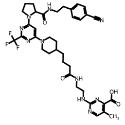 Cc1cnc(NCCNC(=O)CCCC2CCN(c3cc(N4CCCC4C(=O)NCCc4ccc(C#N)cc4)nc(C(F)(F)F)n3)CC2)nc1C(=O)O